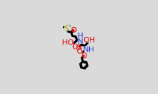 C[S+](C)CC(=O)CCC(NC(=O)C(CO)NC(=O)OCc1ccccc1)C(=O)O